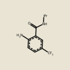 CC(C)NC(=O)c1cc(C(F)(F)F)ccc1N